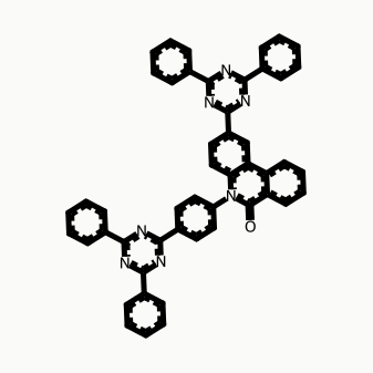 O=c1c2ccccc2c2cc(-c3nc(-c4ccccc4)nc(-c4ccccc4)n3)ccc2n1-c1ccc(-c2nc(-c3ccccc3)nc(-c3ccccc3)n2)cc1